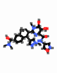 CC(c1nc(C(=O)Nc2cnoc2)c(O)c(=O)n1C)C(c1cnn(C)c1)c1ccc(C(=O)N(C)C)cc1C#N